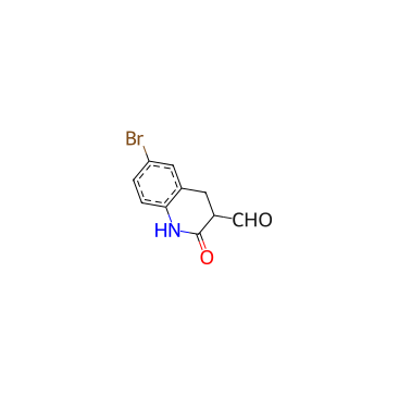 O=CC1Cc2cc(Br)ccc2NC1=O